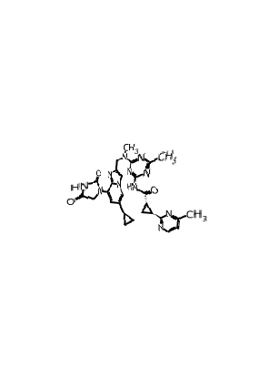 Cc1ccnc([C@H]2C[C@@H]2C(=O)Nc2nc(C)nc(N(C)Cc3cn4cc(C5CC5)cc(N5CC(=O)NC5=O)c4n3)n2)n1